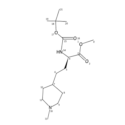 COC(=O)[C@@H](CCC1CCN(C)CC1)NC(=O)OC(C)(C)C